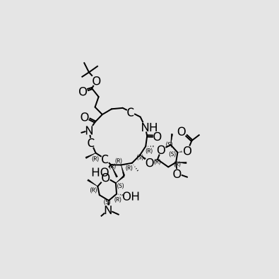 CO[C@]1(C)C[C@H](O[C@H]2[C@H](C)[C@@H](C[C@@H]3O[C@H](C)C[C@H](N(C)C)[C@H]3O)[C@](C)(O)C[C@@H](C)CN(C)C(=O)C(CCC(=O)OC(C)(C)C)CCCCNC(=O)[C@@H]2C)O[C@@H](C)[C@@H]1OC(C)=O